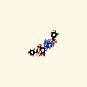 CO[C@@H]1[C@@H]2OC(c3ccccc3)OC[C@H]2C=C[C@H]1n1cnc2c(NC(=O)c3ccccc3)ncnc21